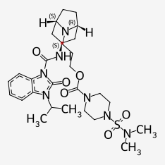 CC(C)n1c(=O)n(C(=O)N[C@@H]2C[C@H]3CC[C@@H](C2)N3CCCOC(=O)N2CCN(S(=O)(=O)N(C)C)CC2)c2ccccc21